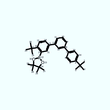 CC(C)(C)c1ccc(-c2cccc(-c3ccc(C(C)(C)C)c(B4OC(C)(C)C(C)(C)O4)c3)c2)cc1